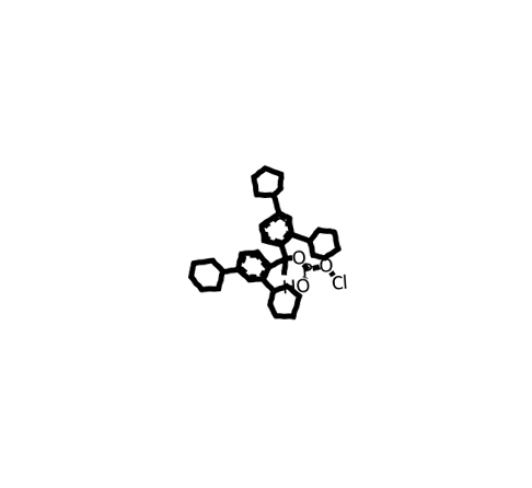 CC(OP(O)OCl)(c1ccc(C2CCCCC2)cc1C1CCCCC1)c1ccc(C2CCCCC2)cc1C1CCCCC1